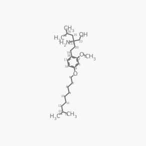 COc1cc(OCCCCCCCC(C)C)ccc1CCC(N)(CO)CC(C)C